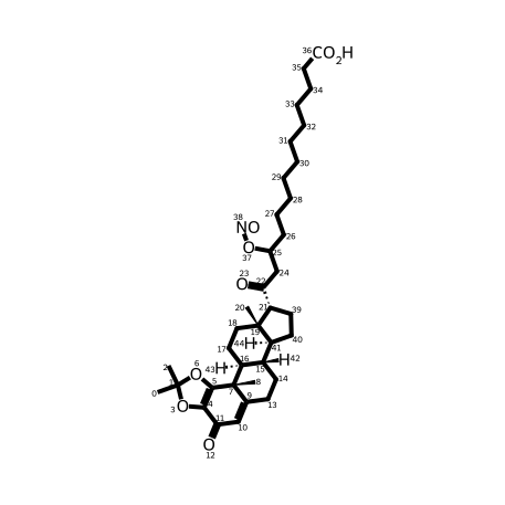 CC1(C)OC2=C(O1)[C@@]1(C)C(=CC2=O)CC[C@@H]2[C@@H]1CC[C@]1(C)[C@H](C(=O)CC(CCCCCCCCCCC(=O)O)ON=O)CC[C@@H]21